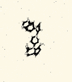 Cc1cccc2c1N(C1CCN(C3C=CN3c3ccc4c(c3)OCO4)CC1)C(=O)OC2